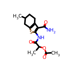 CC(=O)OC(C)C(=O)Nc1sc2c(c1C(N)=O)CCC(C)C2